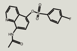 CC(=O)Nc1ccc(OS(=O)(=O)c2ccc(F)cc2)c2cccnc12